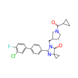 O=C(C1CC1)N1CC[C@@H](CN2C(=O)C3(CC3)N=C2c2ccc(-c3ccc(F)c(Cl)c3)cc2)C1